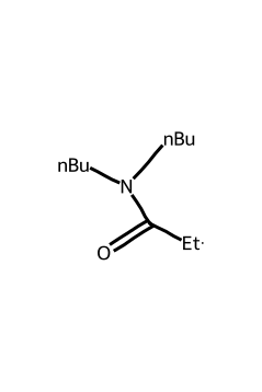 C[CH]C(=O)N(CCCC)CCCC